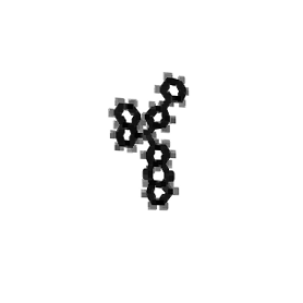 c1ccc(-c2ccc(N(c3ccc4c(c3)Oc3ccccc3O4)c3cccc4ccccc34)cc2)cc1